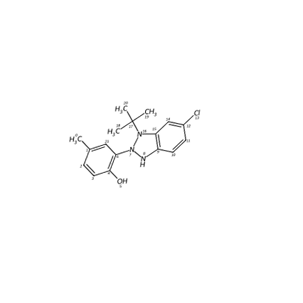 Cc1ccc(O)c(N2Nc3ccc(Cl)cc3N2C(C)(C)C)c1